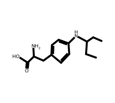 CCC(CC)Nc1ccc(CC(N)C(=O)O)cc1